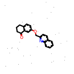 O=C1CCCc2ccc(OCc3ccc4ccccc4n3)cc21